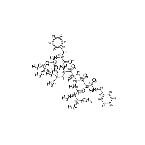 CC(C)CC(NC(=O)[C@H](Cc1ccccc1)NC(=O)OC(C)(C)C)C(=O)C(F)(F)C(NC(=O)[C@@H](N)C(C)C)C(=O)CC(=O)NCc1ccccc1